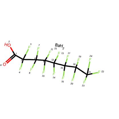 O=C(O)C(F)(F)C(F)(F)C(F)(F)C(F)(F)C(F)(F)C(F)(F)C(F)(F)F.[BaH2]